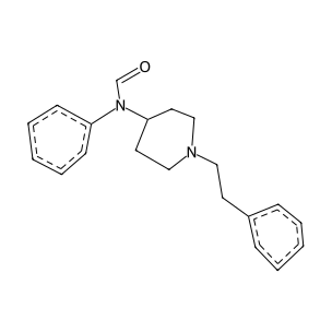 O=CN(c1ccccc1)C1CCN(CCc2ccccc2)CC1